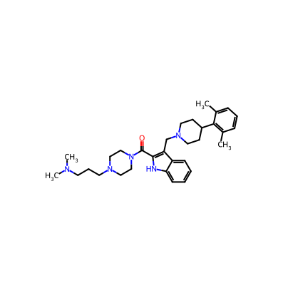 Cc1cccc(C)c1C1CCN(Cc2c(C(=O)N3CCN(CCCN(C)C)CC3)[nH]c3ccccc23)CC1